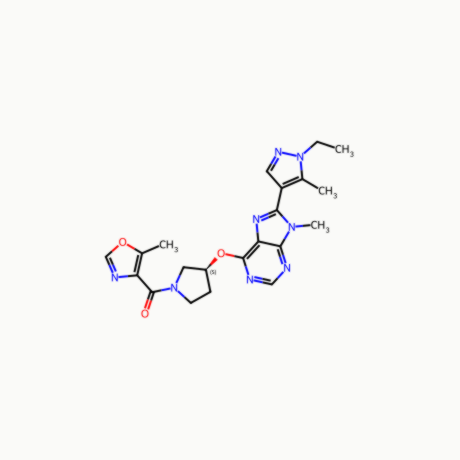 CCn1ncc(-c2nc3c(O[C@H]4CCN(C(=O)c5ncoc5C)C4)ncnc3n2C)c1C